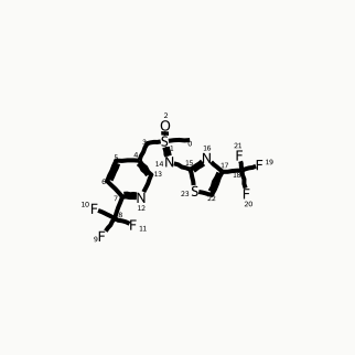 CS(=O)(Cc1ccc(C(F)(F)F)nc1)=Nc1nc(C(F)(F)F)cs1